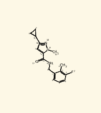 Cc1c(F)cccc1CNC(=O)c1cc(C2CC2)nn1C